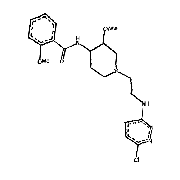 COc1ccccc1C(=O)NC1CCN(CCNc2ccc(Cl)nn2)CC1OC